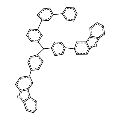 c1ccc(-c2cccc(-c3cccc(C(c4ccc(-c5ccc6oc7ccccc7c6c5)cc4)c4ccc(-c5ccc6oc7ccccc7c6c5)cc4)c3)c2)cc1